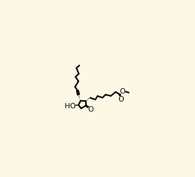 CCCCCCC#C[C@H]1[C@H](O)CC(=O)[C@H]1CCCCCCCC(=O)OC